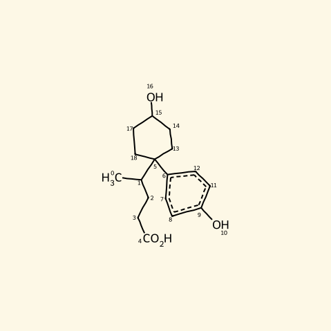 CC(CCC(=O)O)C1(c2ccc(O)cc2)CCC(O)CC1